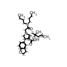 CCCCN(CCCC)C(=O)CN1C[C@H](c2ccc3c(c2)CCO3)[C@H](C(=O)O)[C@H]1CC(C)(C)CCC